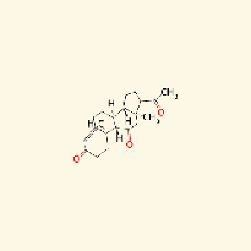 CC(=O)C1CC[C@H]2[C@@H]3CCC4=CC(=O)CC[C@]4(C)[C@H]3C(=O)C[C@]12C